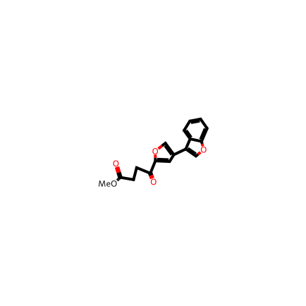 COC(=O)CCC(=O)c1cc(-c2coc3ccccc23)co1